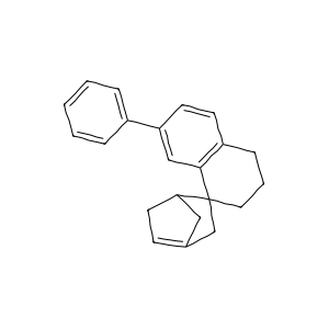 C1=C2CC(C1)C1(CCCc3ccc(-c4ccccc4)cc31)C2